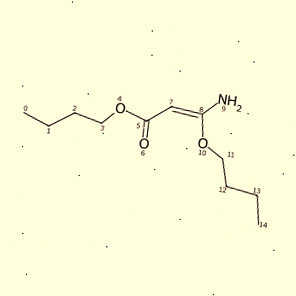 CCCCOC(=O)/C=C(/N)OCCCC